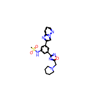 CS(=O)(=O)Nc1cc(-c2cn3ncccc3n2)cc(-c2noc(CN3CCCCC3)n2)c1